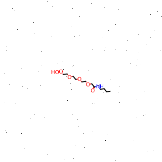 CCCCNC(=O)COCCOCCOCCOO